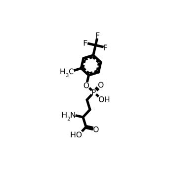 Cc1cc(C(F)(F)F)ccc1OP(=O)(O)CCC(N)C(=O)O